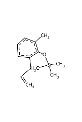 C=CCc1cccc(C)c1O[Si](C)(C)C